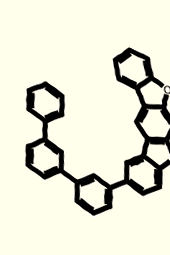 c1ccc(-c2cccc(-c3cccc(-c4ccc5oc6cc7oc8ccccc8c7cc6c5c4)c3)c2)cc1